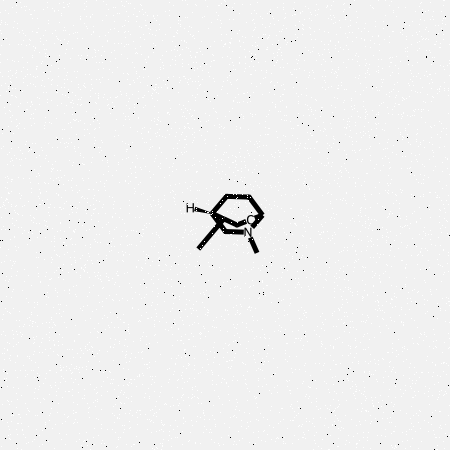 CC1CCC2CC[C@H]1CN2C